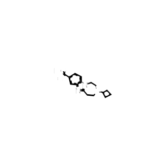 O=C(O)c1ccc2c(c1)nc1n2CCN(C2CCC2)CC1